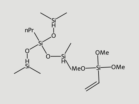 C=C[Si](OC)(OC)OC.CCC[Si](O[SiH](C)C)(O[SiH](C)C)O[SiH](C)C